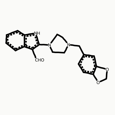 O=Cc1c(N2CCN(Cc3ccc4c(c3)OCO4)CC2)[nH]c2ccccc12